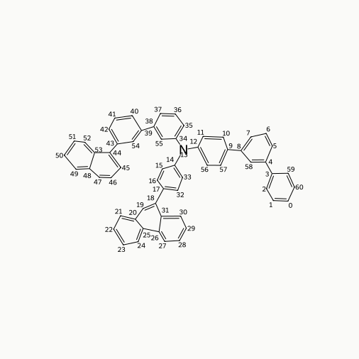 c1ccc(-c2cccc(-c3ccc(N(c4ccc(-c5cc6ccccc6c6ccccc56)cc4)c4cccc(-c5cccc(-c6cccc7ccccc67)c5)c4)cc3)c2)cc1